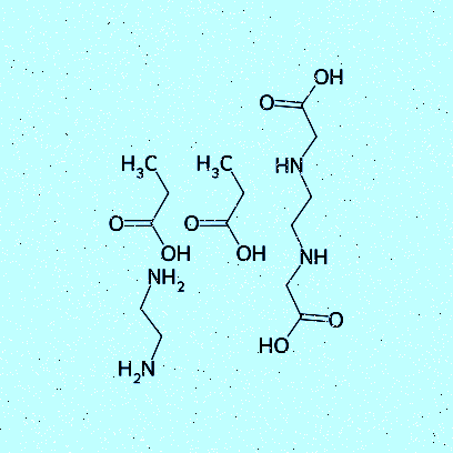 CCC(=O)O.CCC(=O)O.NCCN.O=C(O)CNCCNCC(=O)O